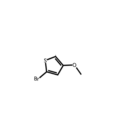 COc1[c]sc(Br)c1